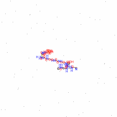 Cc1ccccc1NC(=O)Nc1ccc(CC(=O)N[C@@H](CCCCNC(=O)CCc2cccnc2)C(=O)N[C@@H](CCCC(=O)O)C(=O)NC2(C(=O)NCCOCCOCCNC(=O)CCC(=O)NCCOCCOCCNC(=O)CCC(=O)N[C@H](CSC3CC(=O)N(CC(=O)NCCCC(O)(P(=O)(O)O)P(=O)(O)O)C3=O)C(N)=O)CCCCC2)cc1